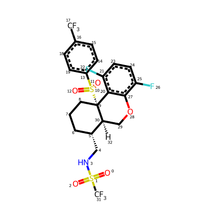 O=S(=O)(NC[C@@H]1CCC[C@@]2(S(=O)(=O)c3ccc(C(F)(F)F)cc3)c3c(F)ccc(F)c3OC[C@@H]12)C(F)(F)F